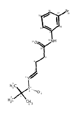 CC(C)(C)[S@@+]([O-])/N=C/CCC(=O)Nc1cccc(Br)c1